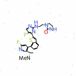 CN[C@@H](C)c1cnc(F)cc1-c1cccc2cc(-c3nc(NCCN4CCNC4=O)ncc3F)sc12